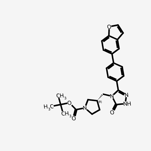 CC(C)(C)OC(=O)N1CC[C@@H](Cn2c(-c3ccc(-c4ccc5occc5c4)cc3)n[nH]c2=O)C1